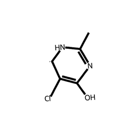 CC1=NC(O)=C(Cl)[CH]N1